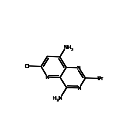 CC(C)c1nc(N)c2nc(Cl)cc(N)c2n1